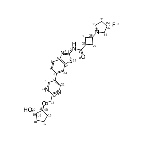 O=C(Nc1nc2ccc(-c3cnc(CO[C@H]4CCC[C@@H]4O)nc3)cc2s1)C1CC(N2CC[C@H](F)C2)C1